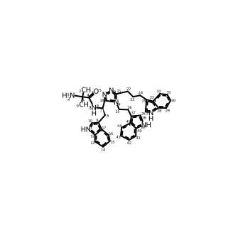 CC(C)(N)C(=O)N[C@H](Cc1c[nH]c2ccccc12)c1nnc(CCCc2c[nH]c3ccccc23)n1CCc1c[nH]c2ccccc12